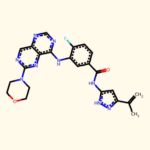 C=C(C)c1cc(NC(=O)c2ccc(F)c(Nc3ncnc4cnc(N5CCOCC5)nc34)c2)[nH]n1